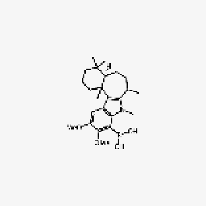 COc1cc2c3c(n(C)c2c(B(O)O)c1OC)C(C)CC[C@@H]1C(C)(C)CCC[C@@]31C